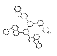 C1=CC(c2cccc(-c3cc(C4=CC=C(c5ccccn5)NC4)cc(-c4cc(-c5ccc6c7c(cccc57)-c5ccccc5-6)cc(-c5ccc6c7c(cccc57)-c5ccccc5-6)c4)c3)n2)=CCN1